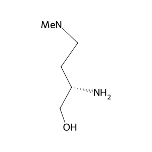 CNCC[C@H](N)CO